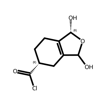 O=C(Cl)[C@@H]1CCC2=C(C1)C(O)O[C@H]2O